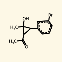 CC(=O)C1C(c2cccc(Br)c2)C1(C)O